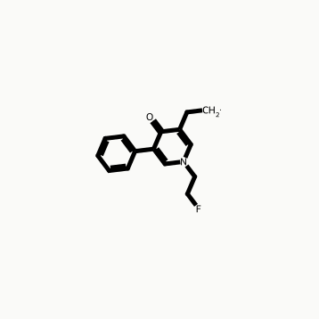 [CH2]Cc1cn(CCF)cc(-c2ccccc2)c1=O